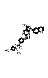 C[C@]1(NC(=O)[C@@H]2CC[C@@H](Nc3ncc4c(Br)nn(-c5ccc6ncccc6c5)c4n3)C2)C[C@H](O)C1